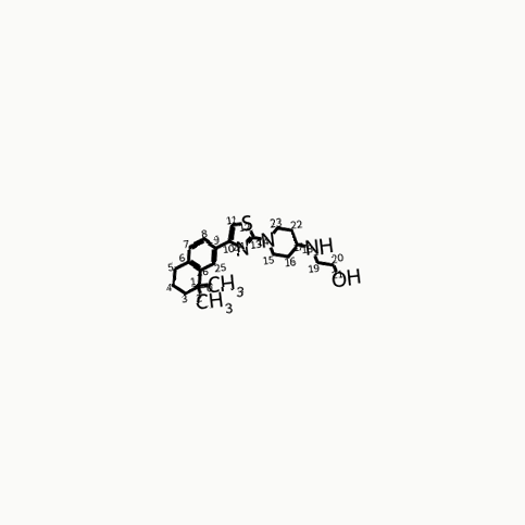 CC1(C)CCCc2ccc(-c3csc(N4CCC(NCCO)CC4)n3)cc21